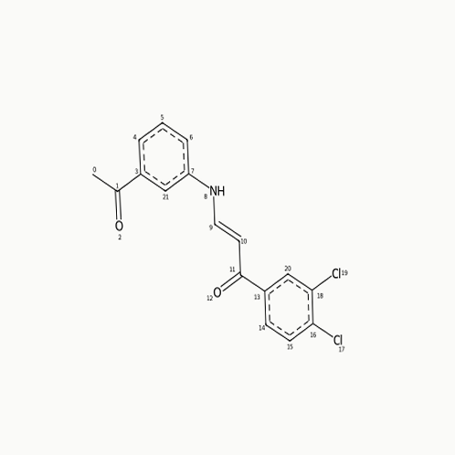 CC(=O)c1cccc(N/C=C/C(=O)c2ccc(Cl)c(Cl)c2)c1